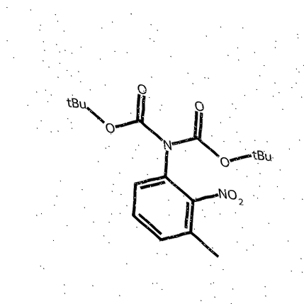 Cc1cccc(N(C(=O)OC(C)(C)C)C(=O)OC(C)(C)C)c1[N+](=O)[O-]